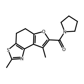 Cc1nc2c(s1)CCc1oc(C(=O)N3CCCC3)c(C)c1-2